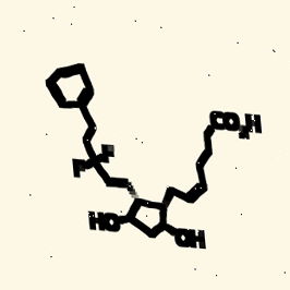 O=C(O)CCC/C=C\C[C@@H]1[C@@H](/C=C/C(F)(F)CCc2ccccc2)[C@H](O)C[C@@H]1O